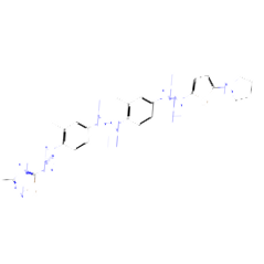 Cc1nsc(/N=N/c2ccc(NNc3ccc(NNc4ccc(N5CCCC5)s4)cc3C)cc2C)n1